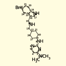 CN(C)c1ccnc(NC2CCC(CNCc3c[nH]c4ccc(Br)cc34)CC2)n1